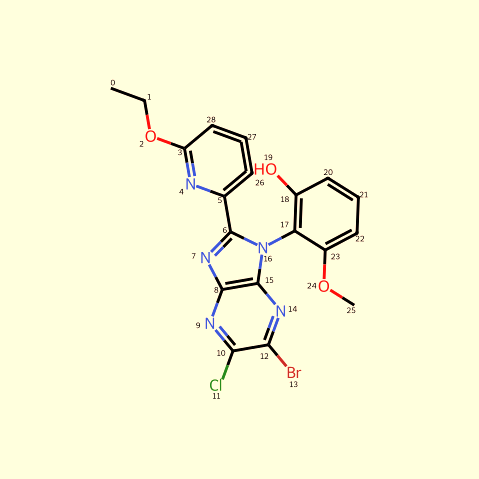 CCOC1=NC(c2nc3nc(Cl)c(Br)nc3n2-c2c(O)cccc2OC)=C=C=C1